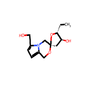 CC[C@H]1O[C@]2(C[C@@H]1O)Cn1c(CO)ccc1CO2